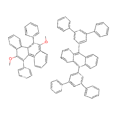 COc1c(-c2ccccc2)c2c3ccccc3c(OC)c(-c3ccccc3)c2c2ccccc12.c1ccc(-c2cc(-c3ccccc3)cc(-c3c4ccccc4c(-c4cc(-c5ccccc5)cc(-c5ccccc5)c4)c4ccccc34)c2)cc1